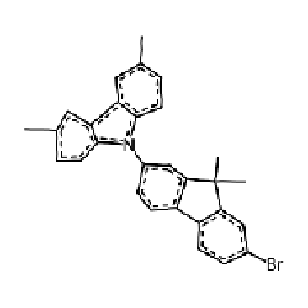 Cc1ccc2c(c1)c1cc(C)ccc1n2-c1ccc2c(c1)C(C)(C)c1cc(Br)ccc1-2